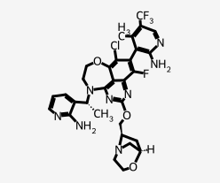 Cc1c(C(F)(F)F)cnc(N)c1-c1c(Cl)c2c3c(nc(OC[C@H]4C[C@@H]5CN4CCO5)nc3c1F)N([C@H](C)c1cccnc1N)CCO2